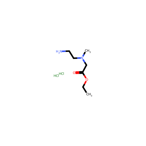 CCOC(=O)CN(C)CCN.Cl.Cl